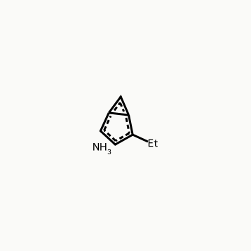 CCc1ccc2cc1-2.N